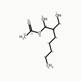 CCCCCC(CO)C(O)OC(C)=O